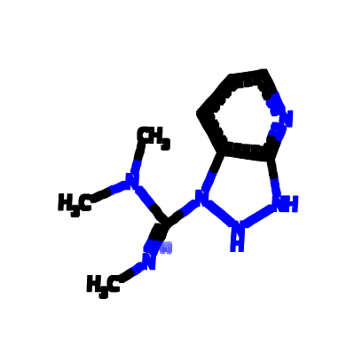 C/N=C(\N(C)C)N1NNc2ncccc21